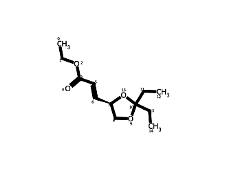 CCOC(=O)/C=C/[C@@H]1COC(CC)(CC)O1